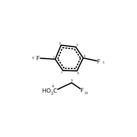 Fc1ccc(F)cc1.O=C(O)CF